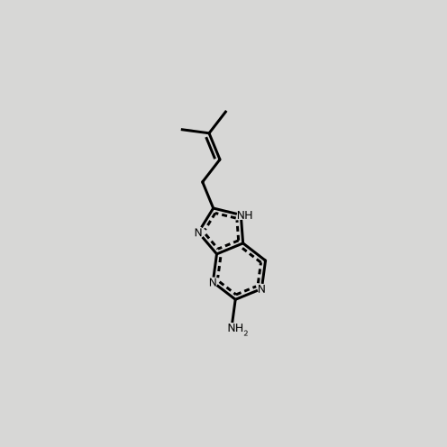 CC(C)=CCc1nc2nc(N)ncc2[nH]1